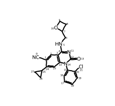 N#Cc1cc2c(NCC3CCO3)nc(=O)n(-c3ccccc3Cl)c2cc1C1CC1